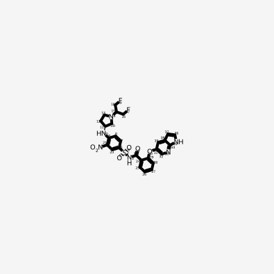 O=C(NS(=O)(=O)c1ccc(N[C@@H]2CCN(C(CF)CF)C2)c([N+](=O)[O-])c1)c1ccccc1Oc1cnc2[nH]ccc2c1